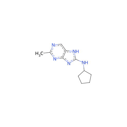 Cc1ncc2[nH]c(NC3CCCC3)nc2n1